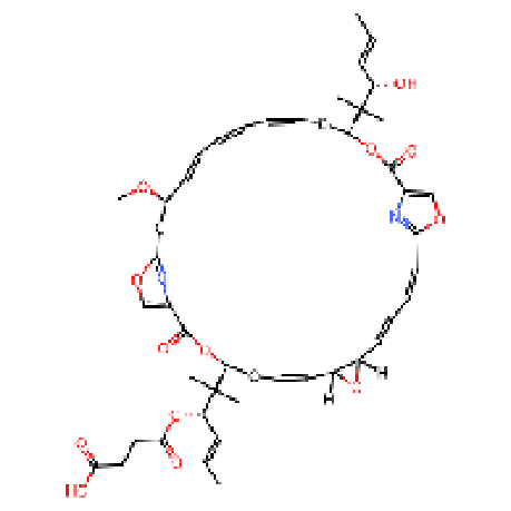 C/C=C/[C@H](OC(=O)CCC(=O)O)C(C)(C)[C@@H]1C/C=C\[C@H]2O[C@H]2/C=C/C=C\c2nc(co2)C(=O)O[C@H](C(C)(C)[C@@H](O)/C=C/C)C\C=C/C=C\C=C\[C@H](OC)Cc2nc(co2)C(=O)O1